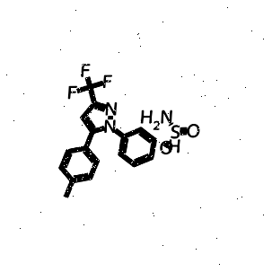 Cc1ccc(-c2cc(C(F)(F)F)nn2-c2ccccc2)cc1.N[SH](=O)=O